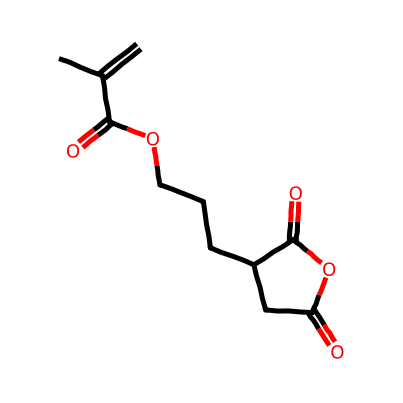 C=C(C)C(=O)OCCCC1CC(=O)OC1=O